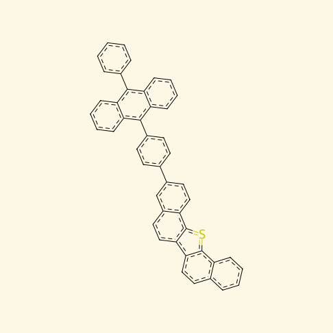 c1ccc(-c2c3ccccc3c(-c3ccc(-c4ccc5c(ccc6c7ccc8ccccc8c7sc56)c4)cc3)c3ccccc23)cc1